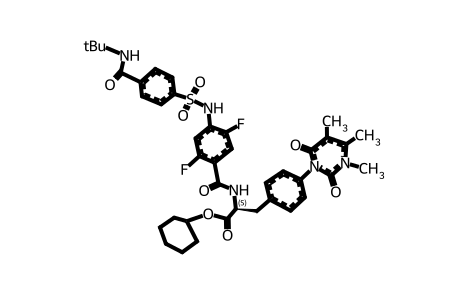 Cc1c(C)n(C)c(=O)n(-c2ccc(C[C@H](NC(=O)c3cc(F)c(NS(=O)(=O)c4ccc(C(=O)NC(C)(C)C)cc4)cc3F)C(=O)OC3CCCCC3)cc2)c1=O